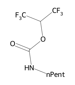 CCCCCNC(=O)OC(C(F)(F)F)C(F)(F)F